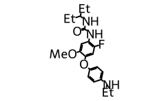 CCNc1ccc(Oc2cc(F)c(NC(=O)NC(CC)CC)cc2OC)cc1